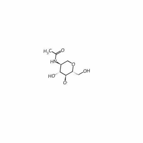 CC(=O)N[C@H]1CO[C@H](CO)[C@@H]([O])[C@@H]1O